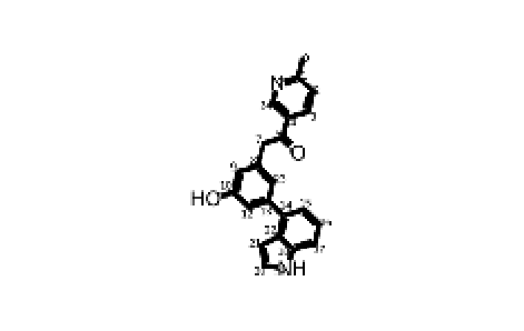 Cc1ccc(C(=O)Cc2cc(O)cc(-c3cccc4[nH]ccc34)c2)cn1